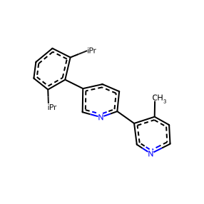 Cc1ccncc1-c1ccc(-c2c(C(C)C)cccc2C(C)C)cn1